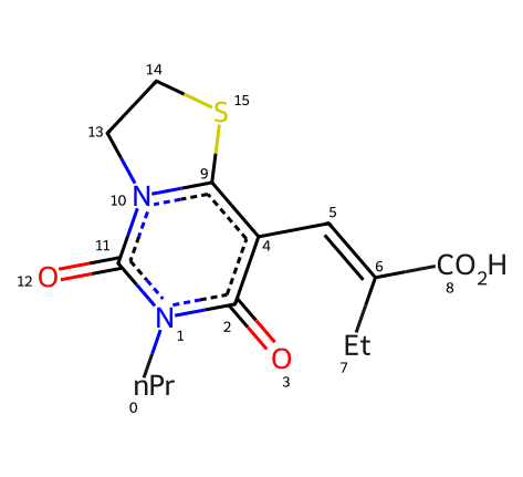 CCCn1c(=O)c(/C=C(\CC)C(=O)O)c2n(c1=O)CCS2